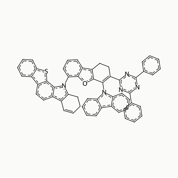 C1=Cc2c(n(-c3cccc4c5c(oc34)C(n3c4ccccc4c4ccccc43)=C(c3nc(-c4ccccc4)nc(-c4ccccc4)n3)CC5)c3c2ccc2c4ccccc4sc23)CC1